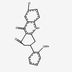 COc1ccccc1C1CC(=O)c2c([nH]c3ccc(Cl)cc3c2=O)C1